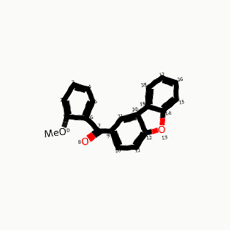 COc1ccccc1C(=O)c1ccc2oc3ccccc3c2c1